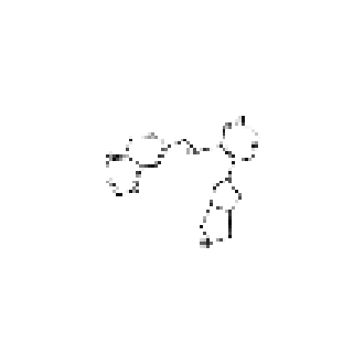 c1cc(N2CC3CNCC3C2)c(NCc2ccc3nccnc3c2)cn1